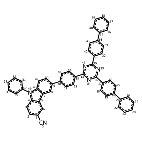 N#Cc1ccc2c(c1)c1cc(-c3ccc(-c4nc(-c5ccc(-c6ccccc6)cc5)nc(-c5ccc(-c6ccccc6)cc5)n4)cc3)ccc1n2-c1ccccc1